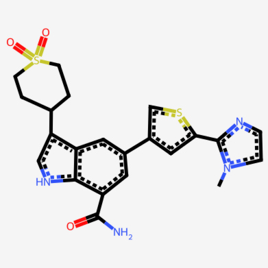 Cn1ccnc1-c1cc(-c2cc(C(N)=O)c3[nH]cc(C4CCS(=O)(=O)CC4)c3c2)cs1